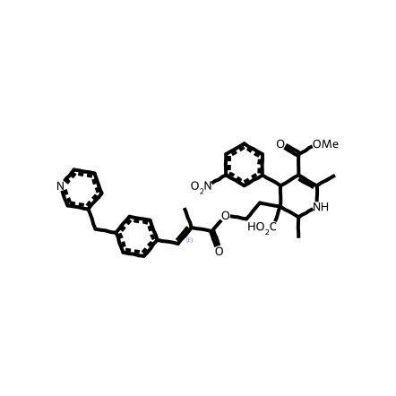 COC(=O)C1=C(C)NC(C)C(CCOC(=O)/C(C)=C/c2ccc(Cc3cccnc3)cc2)(C(=O)O)C1c1cccc([N+](=O)[O-])c1